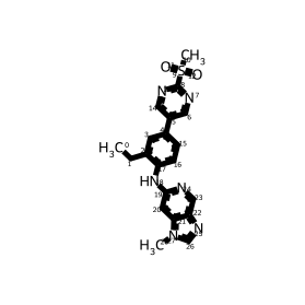 CCc1cc(-c2cnc(S(C)(=O)=O)nc2)ccc1Nc1cc2c(cn1)ncn2C